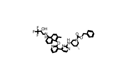 Cc1ccc2c(NC[C@H](O)C(F)(F)F)cccc2c1Oc1ncccc1-c1ccnc(N[C@H]2C[C@@H](C)CN(C(=O)OCc3ccccc3)C2)n1